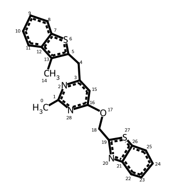 Cc1nc(Cc2sc3ccccc3c2C)cc(OCc2nc3ccccc3s2)n1